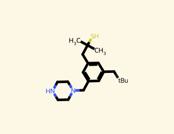 CC(C)(C)Cc1cc(CN2CCNCC2)cc(CC(C)(C)S)c1